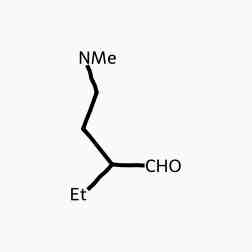 CCC(C=O)CCNC